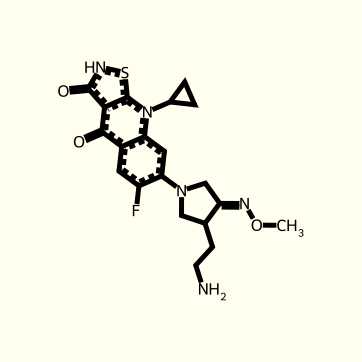 CO/N=C1/CN(c2cc3c(cc2F)c(=O)c2c(=O)[nH]sc2n3C2CC2)CC1CCN